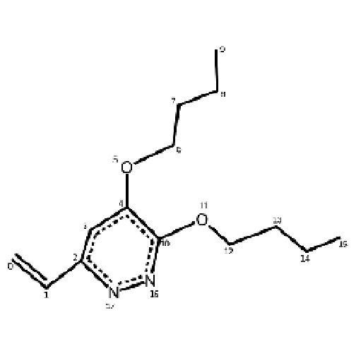 C=Cc1cc(OCCCC)c(OCCCC)nn1